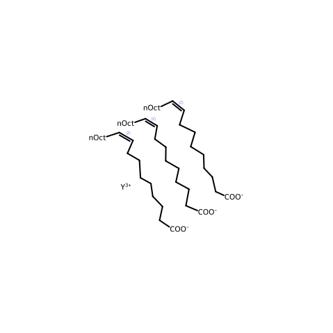 CCCCCCCC/C=C\CCCCCCCC(=O)[O-].CCCCCCCC/C=C\CCCCCCCC(=O)[O-].CCCCCCCC/C=C\CCCCCCCC(=O)[O-].[Y+3]